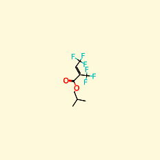 CC(C)COC(=O)/C(=C/C(F)(F)F)C(F)(F)F